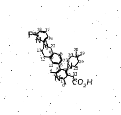 Cc1nc(C)c(-c2ccc3c(c2)CCN(c2cccc(F)n2)C3)c(N2CCC(C)(C)CC2)c1CC(=O)O